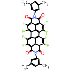 O=C1C2=C(F)C(F)=c3c4c(c5c(F)c(F)c6c7c(c(F)c(F)c3c57)C(=O)N(c3cc(C(F)(F)F)cc(C(F)(F)F)c3)C6=O)C(F)=C(F)C(C(=O)N1c1cc(C(F)(F)F)cc(C(F)(F)F)c1)C24